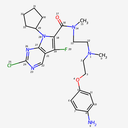 CN(CCOc1ccc(N)cc1)CCN(C)C(=O)c1c(F)c2cnc(Cl)nc2n1C1CCCC1